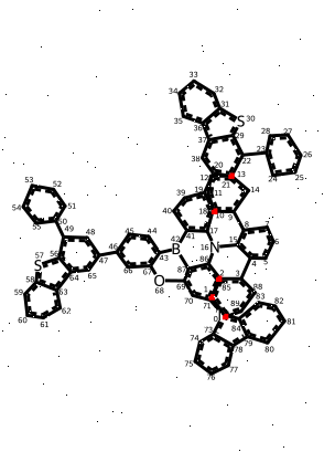 c1ccc(-c2cccc(-c3ccccc3)c2N2c3cc(-c4cc(-c5ccccc5)c5sc6ccccc6c5c4)ccc3B3c4ccc(-c5cc(-c6ccccc6)c6sc7ccccc7c6c5)cc4Oc4cc(-n5c6ccccc6c6ccccc65)cc2c43)cc1